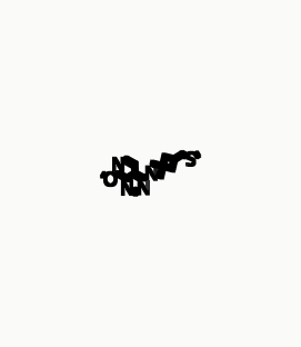 COc1nccc2c(N3CC4(CC(CSC)C4)C3)ncnc12